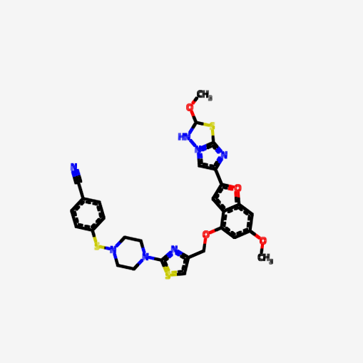 COc1cc(OCc2csc(N3CCN(Sc4ccc(C#N)cc4)CC3)n2)c2cc(-c3cn4c(n3)SC(OC)N4)oc2c1